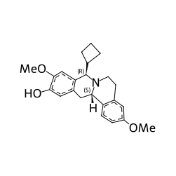 COc1ccc2c(c1)CCN1[C@H]2Cc2cc(O)c(OC)cc2[C@H]1C1CCC1